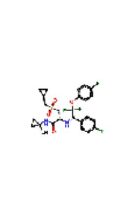 N#CC1(NC(=O)[C@H](CS(=O)(=O)CC2CC2)N[C@@H](c2ccc(F)cc2)C(F)(F)Oc2ccc(F)cc2)CC1